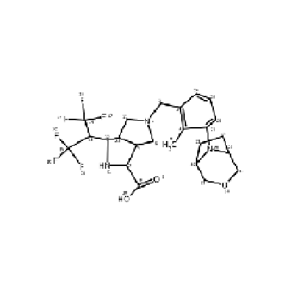 Cc1c(CN2CC3C(C(=O)O)NC(C(C(F)(F)F)C(F)(F)F)C3C2)cccc1N1C2CCC1COC2